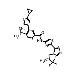 C[C@H](Cn1cnnc1-c1nc(NC(=O)c2cc(-n3cnc(C4CC4)c3)c(N(C)C)cn2)cs1)C(F)(F)F